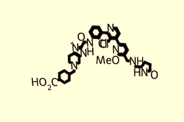 COc1nc(-c2ccnc(-c3cccc(NC(=O)c4nc5c(n4C)CCN(CC4CCC(C(=O)O)CC4)C5)c3Cl)c2Cl)ccc1CNCC1CCC(=O)N1